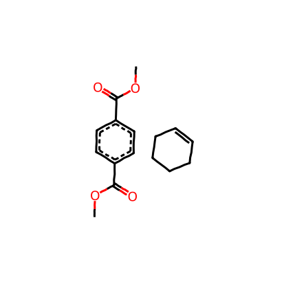 C1=CCCCC1.COC(=O)c1ccc(C(=O)OC)cc1